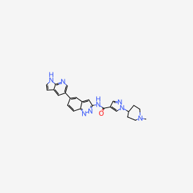 CN1CCC(n2cc(C(=O)Nc3cc4cc(-c5cnc6[nH]ccc6c5)ccc4nn3)cn2)CC1